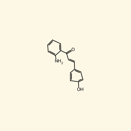 Nc1ccccc1C(=O)C=Cc1ccc(O)cc1